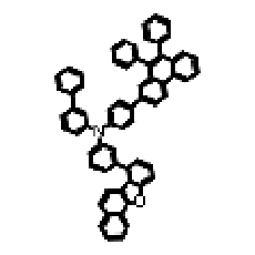 c1ccc(-c2cccc(N(c3ccc(-c4ccc5c(c4)c(-c4ccccc4)c(-c4ccccc4)c4ccccc45)cc3)c3cccc(-c4cccc5oc6c7ccccc7ccc6c45)c3)c2)cc1